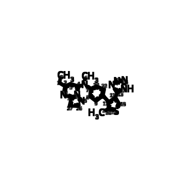 CCc1cc(N(C)c2ccc(-c3c(-c4nnn[nH]4)csc3C)cc2)n2nccc2n1